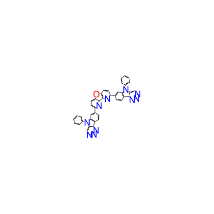 c1ccc(-n2c3cc(-c4ccc5oc6ccc(-c7ccc8c9nnncc9n(-c9ccccc9)c8c7)nc6c5n4)ccc3c3nnncc32)cc1